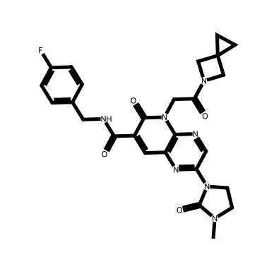 CN1CCN(c2cnc3c(cc(C(=O)NCc4ccc(F)cc4)c(=O)n3CC(=O)N3CC4(CC4)C3)n2)C1=O